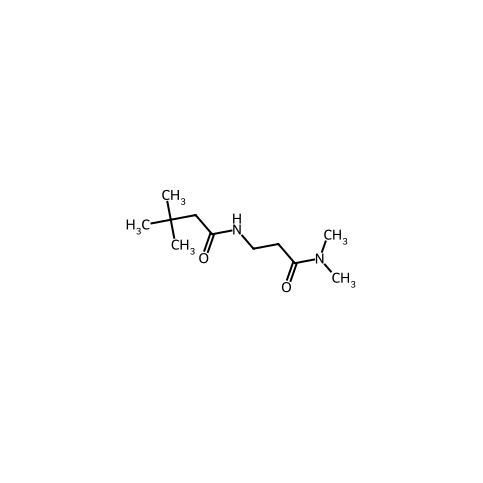 CN(C)C(=O)CCNC(=O)CC(C)(C)C